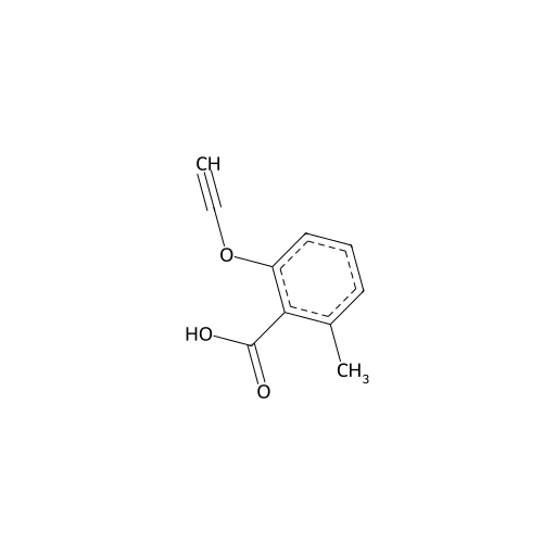 C#COc1cccc(C)c1C(=O)O